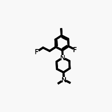 Cc1cc(F)c(N2CCC(N(C)C)CC2)c(CCF)c1